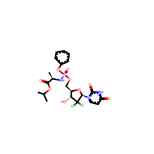 CC(C)OC(=O)[C@@H](C)N[P@@](=O)(OC[C@H]1O[C@@H](n2ccc(=O)[nH]c2=O)C(Cl)(Cl)[C@@H]1O)Oc1ccccc1